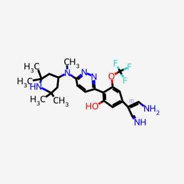 CN(c1ccc(-c2c(O)cc(/C(C=N)=C/N)cc2OC(F)(F)F)nn1)C1CC(C)(C)NC(C)(C)C1